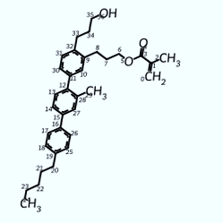 C=C(C)C(=O)OCCCc1cc(-c2ccc(-c3ccc(CCCCC)cc3)cc2C)ccc1CCCO